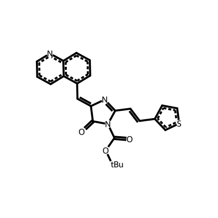 CC(C)(C)OC(=O)N1C(=O)/C(=C/c2cccc3ncccc23)N=C1/C=C/c1ccsc1